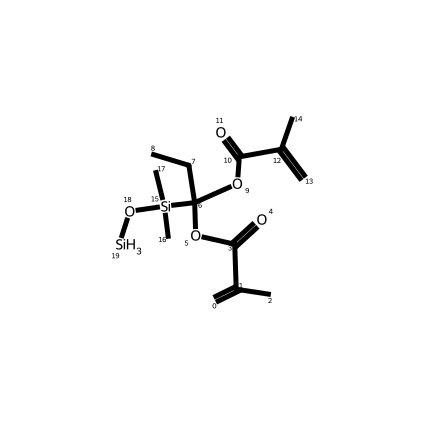 C=C(C)C(=O)OC(CC)(OC(=O)C(=C)C)[Si](C)(C)O[SiH3]